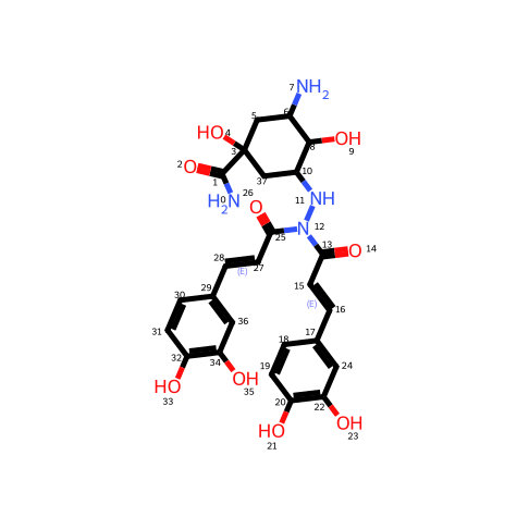 NC(=O)C1(O)CC(N)C(O)C(NN(C(=O)/C=C/c2ccc(O)c(O)c2)C(=O)/C=C/c2ccc(O)c(O)c2)C1